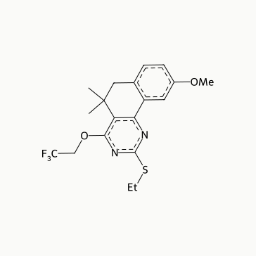 CCSc1nc(OCC(F)(F)F)c2c(n1)-c1cc(OC)ccc1CC2(C)C